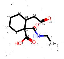 CCNC(=O)C1(C(=O)O)CCCCC1CC=O